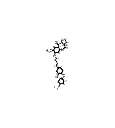 Cc1ccc(Oc2ccc(OCCCOc3cc4c(cc3C)C(=O)N3CCC[C@H]3C=N4)cc2I)cc1